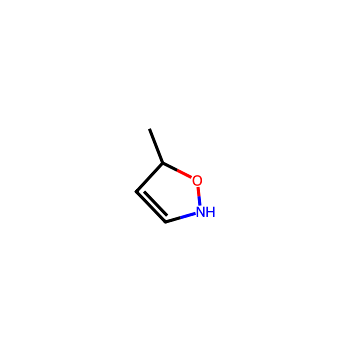 CC1C=CNO1